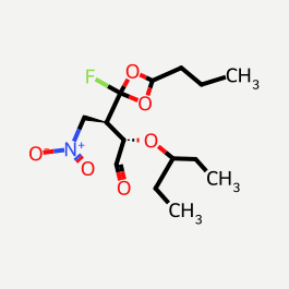 CCCC1OC(F)([C@H](C[N+](=O)[O-])[C@@H](C=O)OC(CC)CC)O1